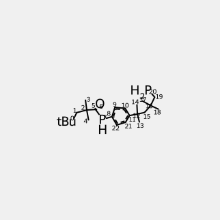 CC(C)(C)CC(C)(C)C(=O)Pc1ccc(C(C)(C)CC(C)(C)CP)cc1